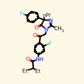 CCCC1(c2ccc(F)cc2)N=C(C)N(CC(=O)c2ccc(NC(=O)C(CC)CC)cc2F)C1=O